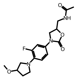 COC1CCN(c2ccc(N3CC(CNC(C)=O)OC3=O)cc2F)C1